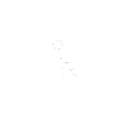 CCOCC(NC(=O)CCc1ccccc1)C(=O)O